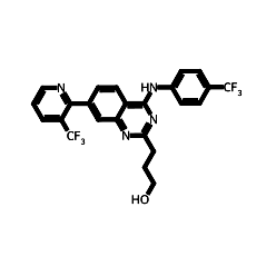 OCCCc1nc(Nc2ccc(C(F)(F)F)cc2)c2ccc(-c3ncccc3C(F)(F)F)cc2n1